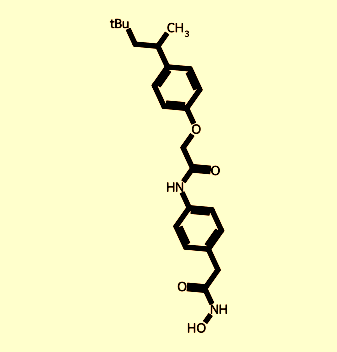 CC(CC(C)(C)C)c1ccc(OCC(=O)Nc2ccc(CC(=O)NO)cc2)cc1